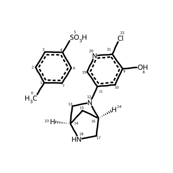 Cc1ccc(S(=O)(=O)O)cc1.Oc1cc(N2C[C@H]3C[C@@H]2CN3)cnc1Cl